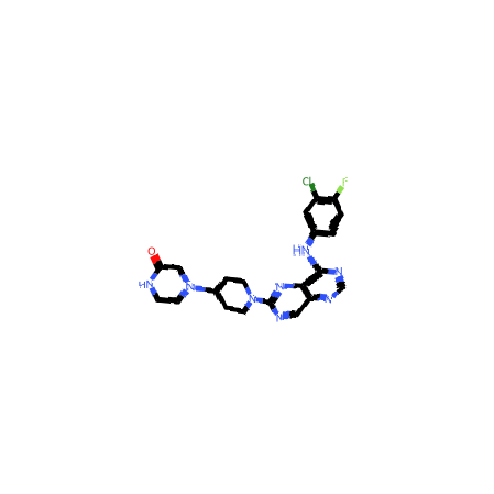 O=C1CN(C2CCN(c3ncc4ncnc(Nc5ccc(F)c(Cl)c5)c4n3)CC2)CCN1